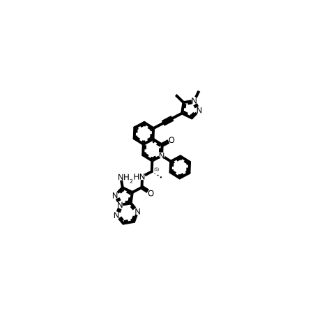 Cc1c(C#Cc2cccc3cc([C@H](C)NC(=O)c4c(N)nn5nccnc45)n(-c4ccccc4)c(=O)c23)cnn1C